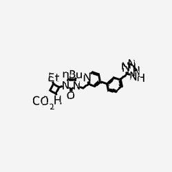 CCCCc1cn(C2C(CC)CC2C(=O)O)c(=O)n1Cc1cc(-c2cccc(-c3nnn[nH]3)c2)ccn1